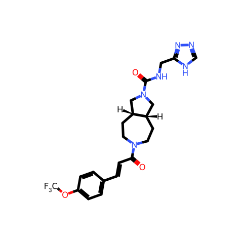 O=C(/C=C/c1ccc(OC(F)(F)F)cc1)N1CC[C@@H]2CN(C(=O)NCc3nnc[nH]3)C[C@@H]2CC1